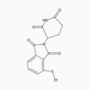 CCSc1cccc2c1C(=O)N(C1CCC(=O)NC1=O)C2=O